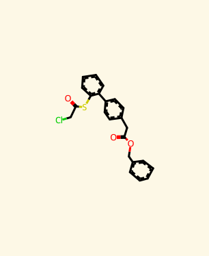 O=C(Cc1ccc(-c2ccccc2SC(=O)CCl)cc1)OCc1ccccc1